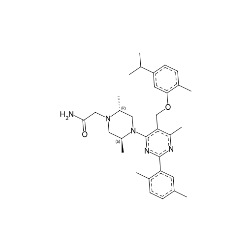 Cc1ccc(C)c(-c2nc(C)c(COc3cc(C(C)C)ccc3C)c(N3C[C@@H](C)N(CC(N)=O)C[C@@H]3C)n2)c1